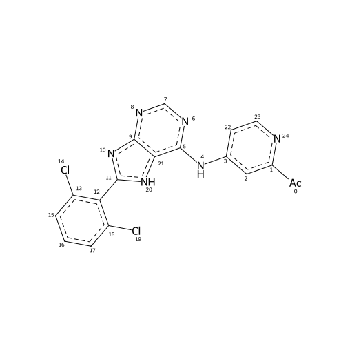 CC(=O)c1cc(Nc2ncnc3nc(-c4c(Cl)cccc4Cl)[nH]c23)ccn1